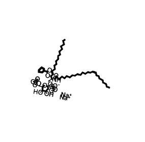 CCCCCCCC/C=C\CCCCCCCCCCCCCC(=O)N[C@@H](CO[C@@H]1O[C@H](COS(=O)(=O)[O-])[C@H](O)[C@H](O)[C@H]1OS(=O)(=O)[O-])[C@@H](/C=C/CCCCCCCCCCCCC)OC(=O)c1ccccc1.[Na+].[Na+]